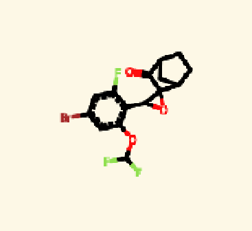 O=C1C2CCC(C2)C12OC2c1c(F)cc(Br)cc1OC(F)F